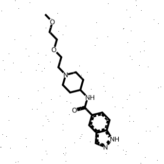 COCCOCCN1CCC(NC(=O)c2ccc3[nH]ncc3c2)CC1